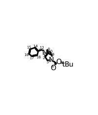 CC1C2CN(C(=O)OC(C)(C)C)C1CN2Cc1ccccc1